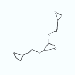 C1OC1COC1OC1OCC1CO1